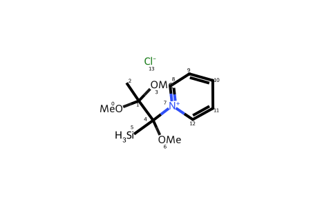 COC(C)(OC)C([SiH3])(OC)[n+]1ccccc1.[Cl-]